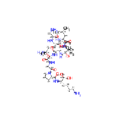 CC(C)C[C@H](NC(=O)[C@H](C)NC(=O)[C@H](CC(C)C)NC(=O)[C@H](CCC(N)=O)NC(=O)CN)C(=O)N[C@@H](C)C(=O)NCC(=O)N1CCC[C@H]1C(=O)N[C@@H](CCCCN)C(=O)O